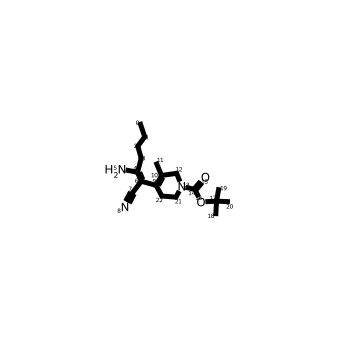 CCCC/C(N)=C(/C#N)C1=C(C)CN(C(=O)OC(C)(C)C)CC1